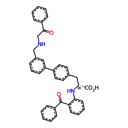 O=C(CNCc1cccc(-c2ccc(C[C@@H](Nc3ccccc3C(=O)c3ccccc3)C(=O)O)cc2)c1)c1ccccc1